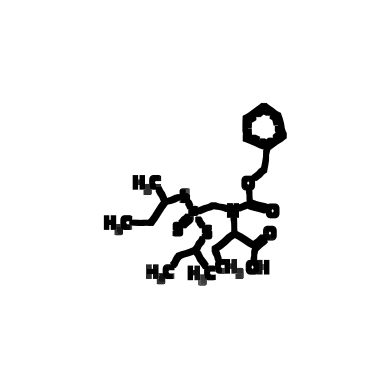 CCC(C)SP(=S)(CN(C(=O)OCc1ccccc1)C(CC)C(=O)O)SC(C)CC